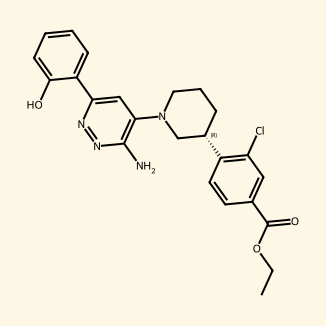 CCOC(=O)c1ccc([C@H]2CCCN(c3cc(-c4ccccc4O)nnc3N)C2)c(Cl)c1